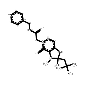 CB1c2c(cnn(CC(=O)NCc3ccncc3)c2=O)NC1(C)CC(C)(C)C